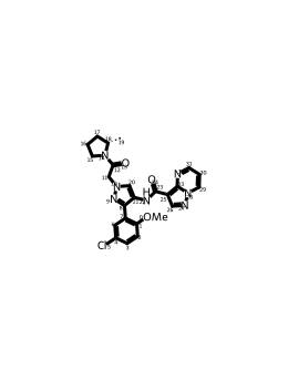 COc1ccc(Cl)cc1-c1nn(CC(=O)N2CCC[C@@H]2C)cc1NC(=O)c1cnn2cccnc12